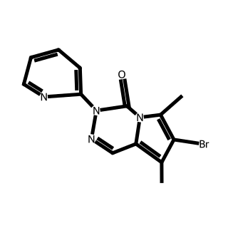 Cc1c(Br)c(C)n2c(=O)n(-c3ccccn3)ncc12